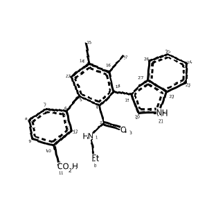 CCNC(=O)c1c(-c2cccc(C(=O)O)c2)cc(C)c(C)c1-c1c[nH]c2ccccc12